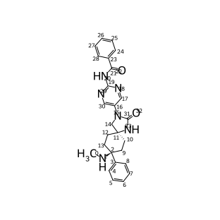 CN[C@]1(c2ccccc2)CC[C@]2(CC1)CN(c1cnc(NC(=O)c3ccccc3)nc1)C(=O)N2